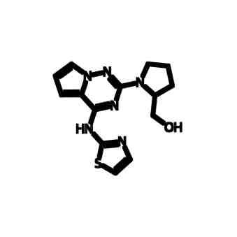 OCC1CCCN1c1nc(Nc2nccs2)c2cccn2n1